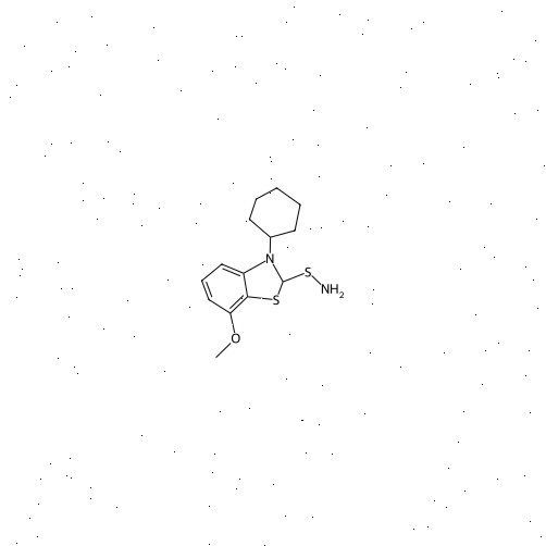 COc1cccc2c1SC(SN)N2C1CCCCC1